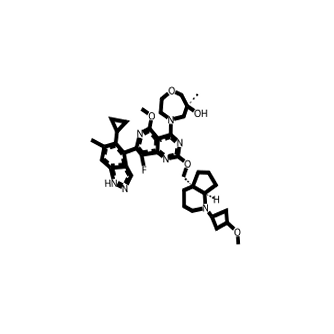 COc1nc(-c2c(C3CC3)c(C)cc3[nH]ncc23)c(F)c2nc(OC[C@]34CCC[C@H]3N(C3CC(OC)C3)CCC4)nc(N3CCOC[C@@](C)(O)C3)c12